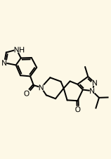 Cc1nn(C(C)C)c2c1CC1(CCN(C(=O)c3ccc4[nH]cnc4c3)CC1)CC2=O